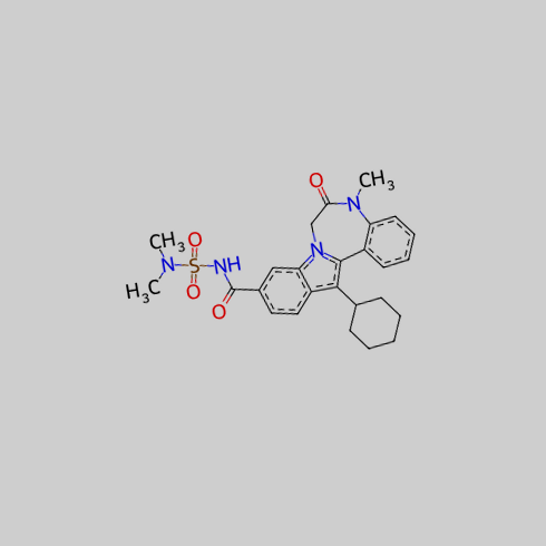 CN1C(=O)Cn2c(c(C3CCCCC3)c3ccc(C(=O)NS(=O)(=O)N(C)C)cc32)-c2ccccc21